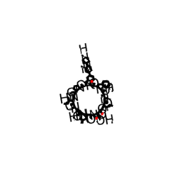 CCC(C)C1NC(=O)C2CCCN2C(=O)C(Cc2cccc(-c3ccc(N4CCNCC4)nc3)c2)N(C)C(=O)C(Cc2ccccc2)NC(=O)[C@H](C)N(C)C(=O)C([C@H](C)CC)OC(=O)C(C(C)(C)O)N(C)C(=O)C(CC(C)C)NC(=O)[C@H](C)N(C)C1=O